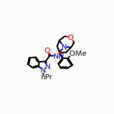 CCCn1nc(C(=O)NC2CC3COCC(C2)N3Cc2ccccc2OC)c2ccccc21